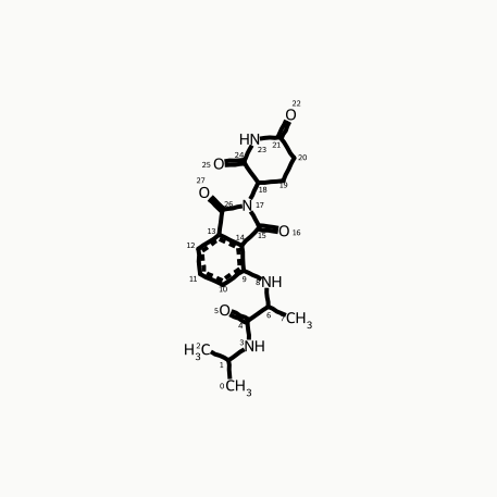 CC(C)NC(=O)C(C)Nc1cccc2c1C(=O)N(C1CCC(=O)NC1=O)C2=O